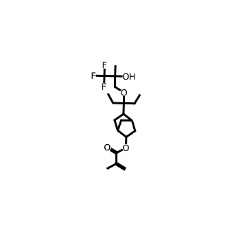 C=C(C)C(=O)OC1CC2CC1CC2C(CC)(CC)OCC(C)(O)C(F)(F)F